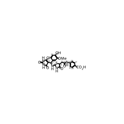 COc1cc(C(NC2NC(=O)C(CC(=O)Nc3ccc(C(=O)O)cc3)S2)c2c(O)[nH]c(=O)[nH]c2=O)ccc1O